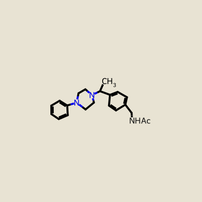 CC(=O)NCc1ccc(C(C)N2CCN(c3ccccc3)CC2)cc1